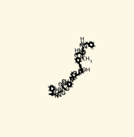 CN1C(=O)[C@H](NC(=O)c2n[nH]c(Cc3ccccc3)n2)COc2ccc(C#CC3(O)CN(CC4CC5(CCO4)CN(c4ccc6c(c4)N(C)C(=O)[C@H](NC(=O)c4nnc(C7(c8ccccc8)CC7)o4)CO6)C5)C3)cc21